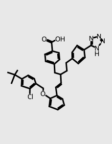 CC(C)(C)c1ccc(COc2ccccc2C=CC(CCc2ccc(-c3nnn[nH]3)cc2)Cc2ccc(C(=O)O)cc2)c(Cl)c1